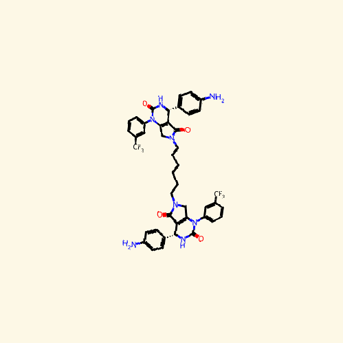 Nc1ccc([C@H]2NC(=O)N(c3cccc(C(F)(F)F)c3)C3=C2C(=O)N(CCCCCCN2CC4=C(C2=O)[C@@H](c2ccc(N)cc2)NC(=O)N4c2cccc(C(F)(F)F)c2)C3)cc1